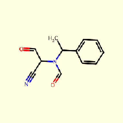 CC(c1ccccc1)N(C=O)C(C#N)C=O